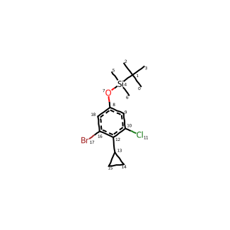 CC(C)(C)[Si](C)(C)Oc1cc(Cl)c(C2CC2)c(Br)c1